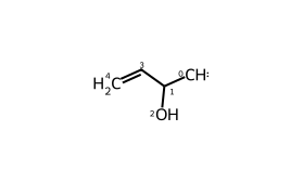 [CH]C(O)C=C